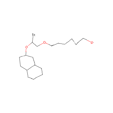 CCC(COCCCCCC[O])OC1CCC2CCCCC2C1